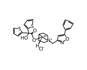 O=C(O[C@H]1C[N+]2(Cc3cc(-c4ccccc4)on3)CCC1CC2)C(O)(c1cccs1)c1cccs1.[Cl-]